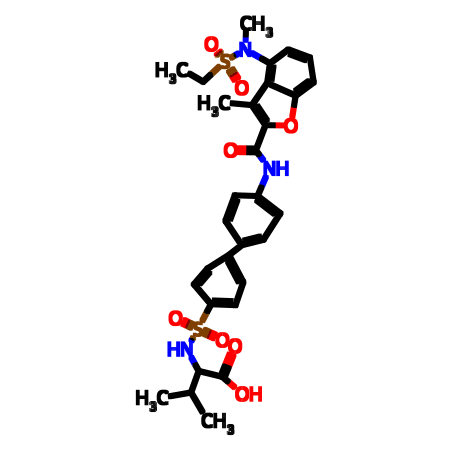 CCS(=O)(=O)N(C)c1cccc2oc(C(=O)Nc3ccc(-c4ccc(S(=O)(=O)NC(C(=O)O)C(C)C)cc4)cc3)c(C)c12